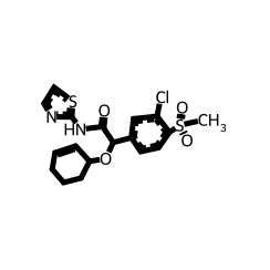 CS(=O)(=O)c1ccc(C(OC2C=CCCC2)C(=O)Nc2nccs2)cc1Cl